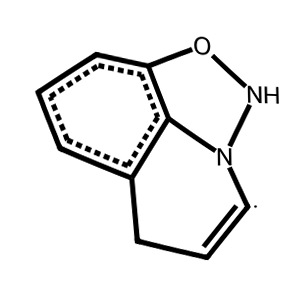 [C]1=CCc2cccc3c2N1NO3